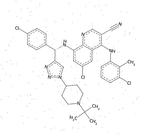 Cc1c(Cl)cccc1Nc1c(C#N)cnc2c(N[C@@H](c3ccc(Cl)cc3)c3cn(C4CCN(C(C)(C)C)CC4)nn3)cc(Cl)cc12